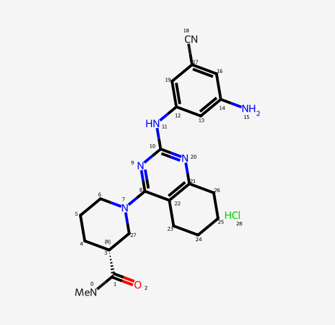 CNC(=O)[C@@H]1CCCN(c2nc(Nc3cc(N)cc(C#N)c3)nc3c2CCCC3)C1.Cl